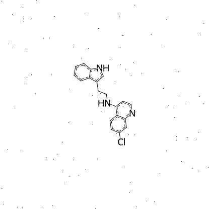 Clc1ccc2c(NCCc3c[nH]c4ccccc34)ccnc2c1